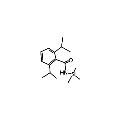 CC(C)c1cccc(C(C)C)c1C(=O)N[Si](C)(C)C